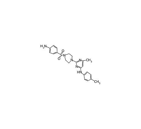 Cc1ccc(Nc2cc(C)nc(N3CCN(S(=O)(=O)c4ccc(N)cc4)CC3)n2)cc1